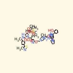 Cc1ncsc1-c1ccc([C@H](C)NC(=O)[C@@H]2C[C@@H](OC(=O)OC(C)C(C)(C)SS(C)(=O)=O)CN2C(=O)C(c2cc(OCCN3CCN(CCOc4cc(N5C6CCC5CN(c5cc(-c7ccccc7O)nnc5N)C6)ccn4)[C@H](C)C3)no2)C(C)C)cc1